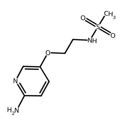 CS(=O)(=O)NCCOc1ccc(N)nc1